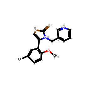 COc1ccc(C)cc1-c1csc(=S)n1Cc1cccnc1